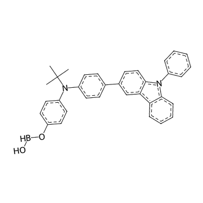 CC(C)(C)N(c1ccc(OBO)cc1)c1ccc(-c2ccc3c(c2)c2ccccc2n3-c2ccccc2)cc1